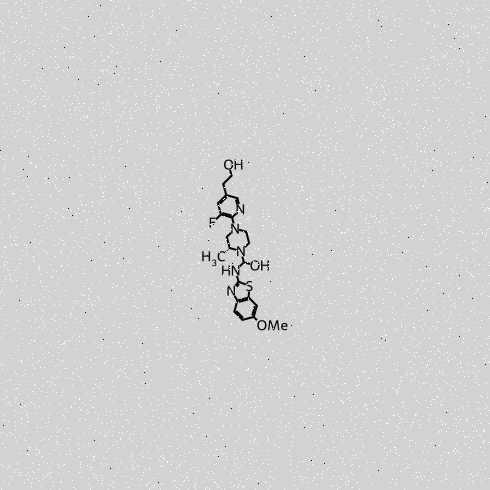 COc1ccc2nc(NC(O)N3CCN(c4ncc(CCO)cc4F)C[C@H]3C)sc2c1